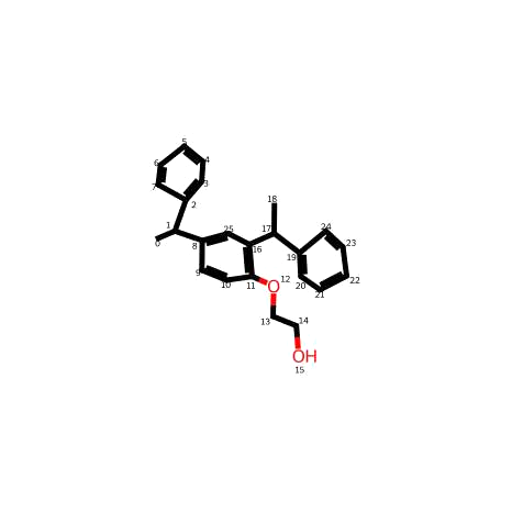 CC(c1ccccc1)c1ccc(OCCO)c(C(C)c2ccccc2)c1